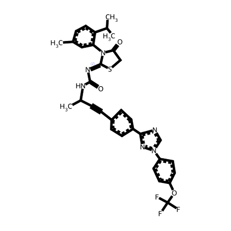 Cc1ccc(C(C)C)c(N2C(=O)CS/C2=N\C(=O)NC(C)C#Cc2ccc(-c3ncn(-c4ccc(OC(F)(F)F)cc4)n3)cc2)c1